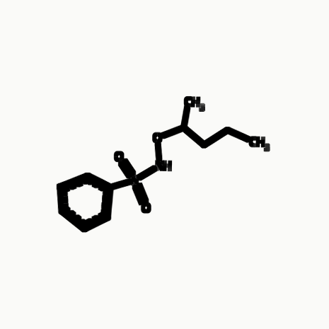 CCCC(C)ONS(=O)(=O)c1ccccc1